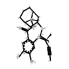 CC#C[C@H](C)Oc1cc(N)c(Cl)cc1C(=O)N[N+]1(C)C2CCCC1CC(OCC)C2